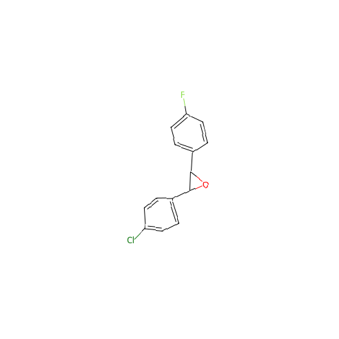 Fc1ccc(C2OC2c2ccc(Cl)cc2)cc1